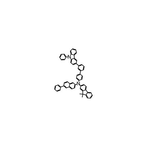 CC1(C)c2ccccc2-c2ccc(N(c3ccc(-c4cccc(-c5ccc6c(c5)c5ccccc5n6-c5ccccc5)c4)cc3)c3ccc4cc(-c5ccccc5)ccc4c3)cc21